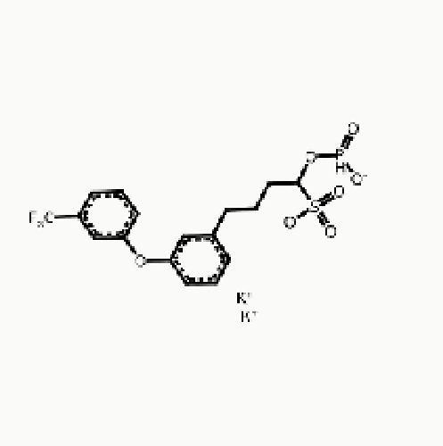 O=[PH]([O-])OC(CCCc1cccc(Oc2cccc(C(F)(F)F)c2)c1)S(=O)(=O)[O-].[K+].[K+]